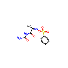 N#CC(=NOS(=O)(=O)c1ccccc1)C(=O)NC(N)=O